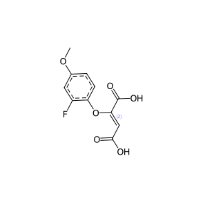 COc1ccc(O/C(=C\C(=O)O)C(=O)O)c(F)c1